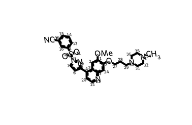 COc1cc2c(-c3ccn(S(=O)(=O)c4cccc(C#N)c4)n3)ccnc2cc1OCCCN1CCN(C)CC1